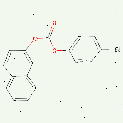 CCc1ccc(OC(=O)Oc2ccc3ccccc3c2)cc1